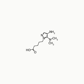 CN(C)c1c(N)cnn1CCCCC(=O)O